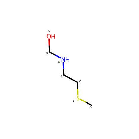 CSCCNCO